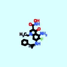 CCn1cc(C(=O)NO)c(=O)c2c(N)c(F)c(N[C@@H]3C[C@H]3c3ccccc3)cc21